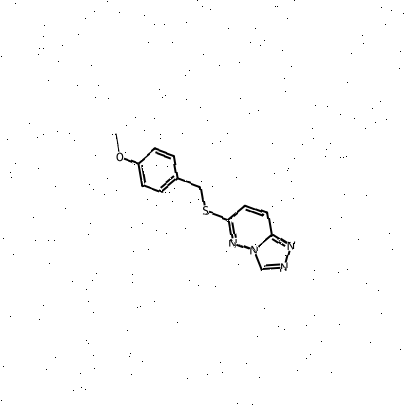 COc1ccc(CSc2ccc3nncn3n2)cc1